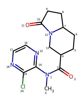 CN(C(=O)C1CCC2CCC(=O)N2C1)c1nccnc1Cl